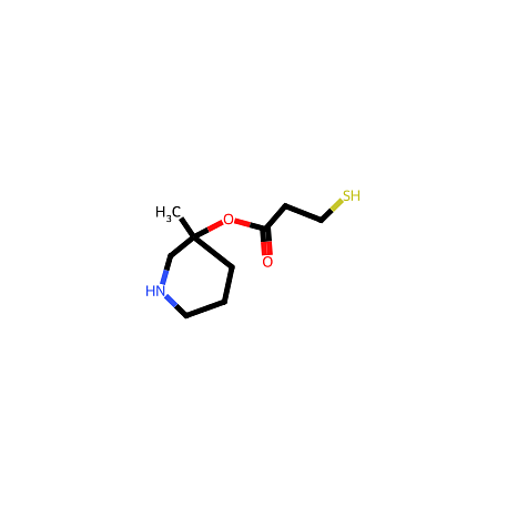 CC1(OC(=O)CCS)CCCNC1